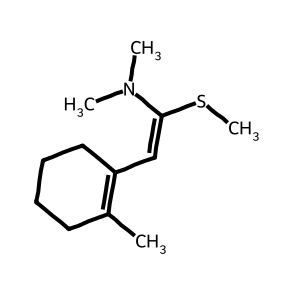 CS/C(=C/C1=C(C)CCCC1)N(C)C